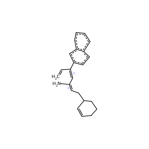 C=C/C(=C\C(N)=C/CC1C=CCCC1)c1ccc2ccccc2c1